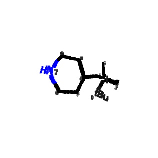 CC(C)(C)[Si](C)(C)C1CCNCC1